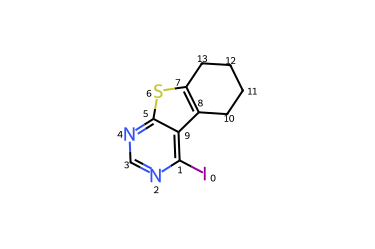 Ic1ncnc2sc3c(c12)CCCC3